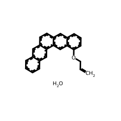 C=CCOc1cccc2cc3ccc4cc5ccccc5cc4c3cc12.O